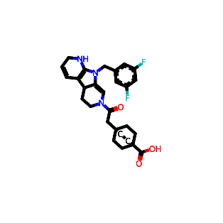 O=C(CC12CCC(C(=O)O)(CC1)CC2)N1C=C2C(CC1)C1=C(NCC=C1)N2Cc1cc(F)cc(F)c1